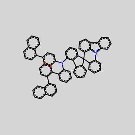 c1ccc(-c2cccc3ccccc23)c(-c2ccccc2N(c2ccc(-c3cccc4ccccc34)cc2)c2cccc3c2-c2ccccc2C32c3ccccc3-n3c4ccccc4c4cccc2c43)c1